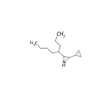 CCCCC(CCC)C1NC1C1CC1